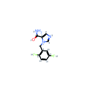 NC(=O)c1cncn1Cc1cc(F)ccc1F